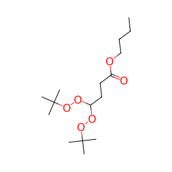 CCCCOC(=O)CCC(OOC(C)(C)C)OOC(C)(C)C